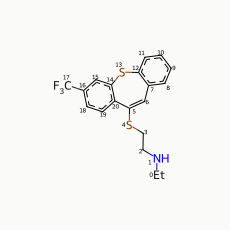 CCNCCSC1=Cc2ccccc2Sc2cc(C(F)(F)F)ccc21